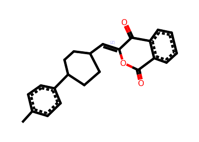 Cc1ccc(C2CCC(/C=C3\OC(=O)c4ccccc4C3=O)CC2)cc1